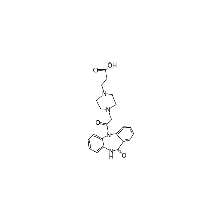 O=C(O)CCN1CCN(CC(=O)N2c3ccccc3NC(=O)c3ccccc32)CC1